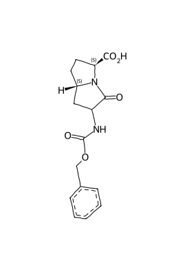 O=C(NC1C[C@@H]2CC[C@@H](C(=O)O)N2C1=O)OCc1ccccc1